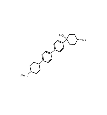 CCCCCC1CCC(c2ccc(-c3ccc(C4(O)CCC(CCC)CC4)cc3)cc2)CC1